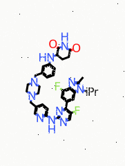 Cc1nc2c(F)cc(-c3nc(Nc4ccc(CN5CCN(Cc6cccc(NC7CCC(=O)NC7=O)c6)CC5)cn4)ncc3F)cc2n1C(C)C